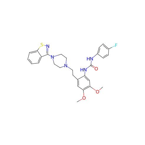 COc1cc(CCN2CCN(c3nsc4ccccc34)CC2)c(NC(=O)Nc2ccc(F)cc2)cc1OC